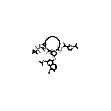 COc1c(F)ccc2c(O[C@@H]3C[C@H]4C(=O)N[C@]5(C(=O)NS(=O)(=O)C6(C)CC6)CC5/C=C\CCCCC[C@H](NC(=O)c5ccn(C(C)C)n5)C(=O)N4C3)cc(OC(C)C)nc12